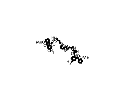 COc1ccccc1C(=O)c1cc(C)ccc1NC(=O)Nc1ncc(CCSc2cccc(S(=O)(=O)CCc3cnc(NC(=O)Nc4ccc(C)cc4C(=O)c4ccccc4OC)s3)n2)s1